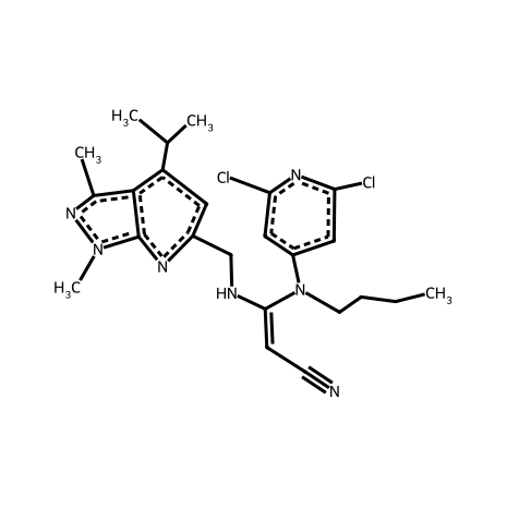 CCCCN(/C(=C\C#N)NCc1cc(C(C)C)c2c(C)nn(C)c2n1)c1cc(Cl)nc(Cl)c1